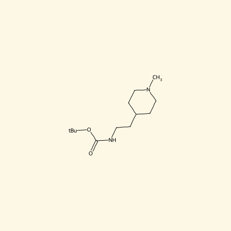 CN1CCC(CCNC(=O)OC(C)(C)C)CC1